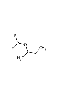 CCC(C)OP(F)F